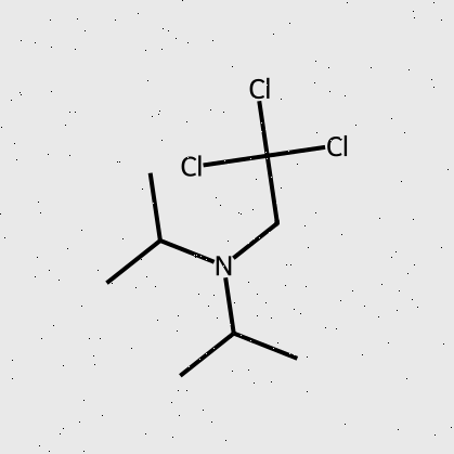 CC(C)N(CC(Cl)(Cl)Cl)C(C)C